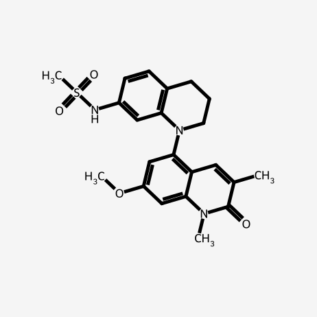 COc1cc(N2CCCc3ccc(NS(C)(=O)=O)cc32)c2cc(C)c(=O)n(C)c2c1